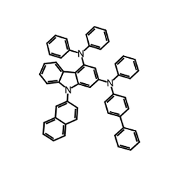 c1ccc(-c2ccc(N(c3ccccc3)c3cc(N(c4ccccc4)c4ccccc4)c4c5ccccc5n(-c5ccc6ccccc6c5)c4c3)cc2)cc1